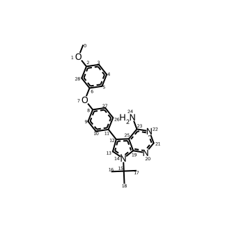 COc1cccc(Oc2ccc(-c3cn(C(C)(C)C)c4ncnc(N)c34)cc2)c1